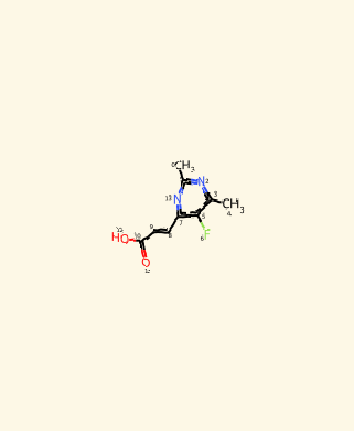 Cc1nc(C)c(F)c(C=CC(=O)O)n1